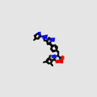 Cc1ccnc(NCc2c[nH]c(-c3ccc(CC(NC(=O)c4c(C)cc(C)cc4C)C(=O)O)cc3)c2)c1